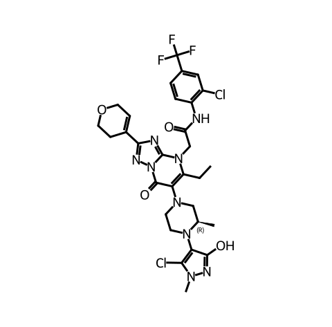 CCc1c(N2CCN(c3c(O)nn(C)c3Cl)[C@H](C)C2)c(=O)n2nc(C3=CCOCC3)nc2n1CC(=O)Nc1ccc(C(F)(F)F)cc1Cl